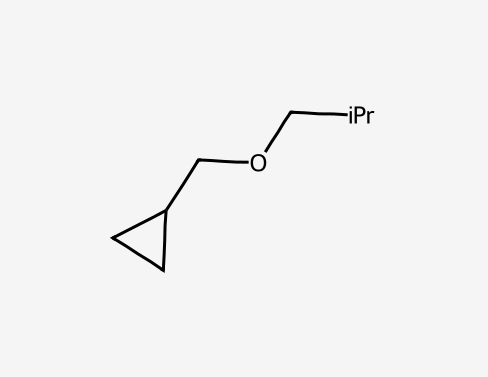 [CH2]C(C)COCC1CC1